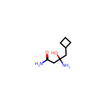 NC(=O)CC(N)(O)CC1CCC1